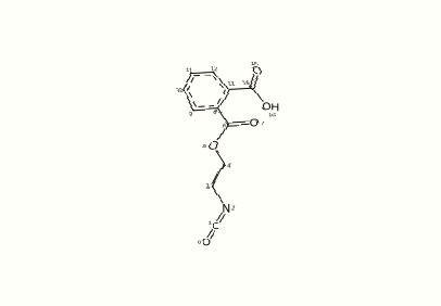 O=C=NCCOC(=O)c1ccccc1C(=O)O